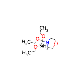 CCO[SiH2]C(OCC)(OCC)N1CCOCC1